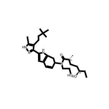 CC[C@@H](O)CC[C@@H](C)C(=O)N(CCO)C1C=Cc2cc(-c3n[nH]c(C)c3CCC(C)(C)C)[nH]c2C1